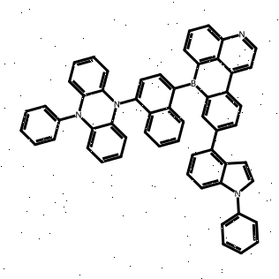 c1ccc(N2c3ccccc3N(c3ccc(B4c5cc(-c6cccc7c6ccn7-c6ccccc6)ccc5-c5ccnc6cccc4c56)c4ccccc34)c3ccccc32)cc1